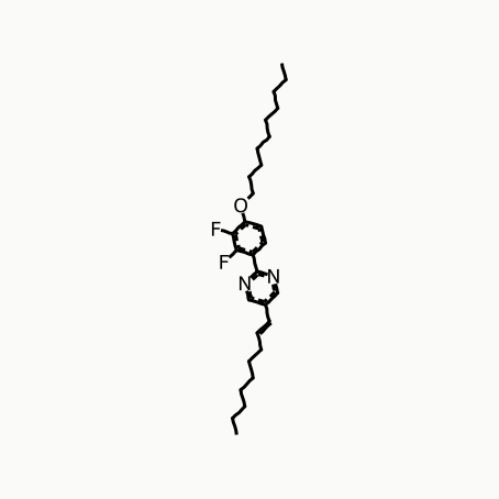 CCCCCCCC=Cc1cnc(-c2ccc(OCCCCCCCCCC)c(F)c2F)nc1